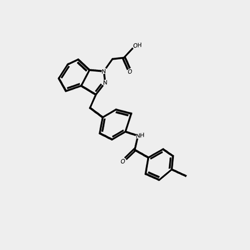 Cc1ccc(C(=O)Nc2ccc(Cc3nn(CC(=O)O)c4ccccc34)cc2)cc1